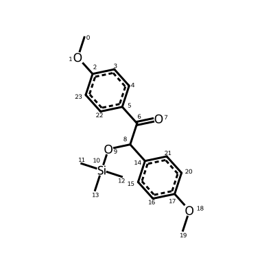 COc1ccc(C(=O)C(O[Si](C)(C)C)c2ccc(OC)cc2)cc1